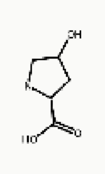 O=C(O)[C@@H]1CC(O)C[N]1